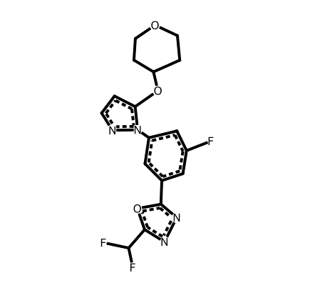 Fc1cc(-c2nnc(C(F)F)o2)cc(-n2nccc2OC2CCOCC2)c1